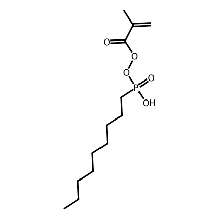 C=C(C)C(=O)OOP(=O)(O)CCCCCCCCC